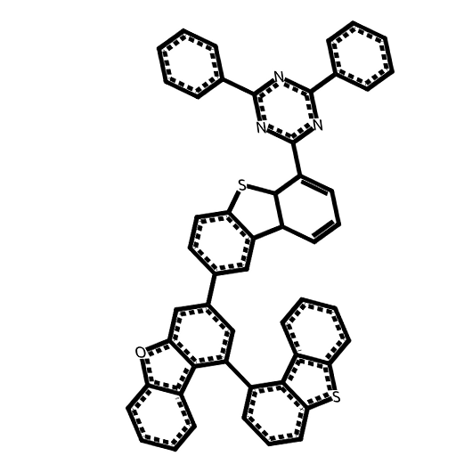 C1=CC2c3cc(-c4cc(-c5cccc6sc7ccccc7c56)c5c(c4)oc4ccccc45)ccc3SC2C(c2nc(-c3ccccc3)nc(-c3ccccc3)n2)=C1